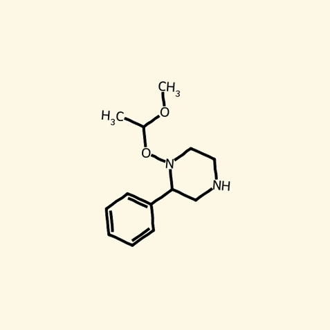 COC(C)ON1CCNCC1c1ccccc1